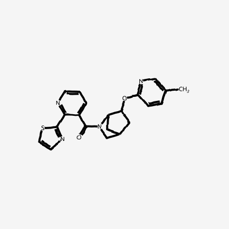 Cc1ccc(OC2CC3CC2N(C(=O)c2cccnc2-c2nccs2)C3)nc1